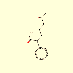 COC(=O)C(CCCC(C)O)c1ccccc1